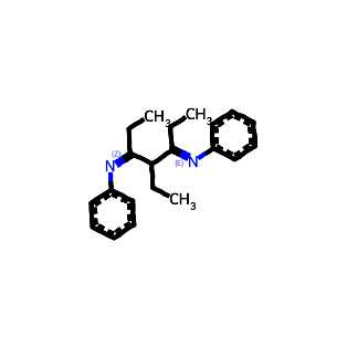 CC/C(=N/c1ccccc1)C(CC)/C(CC)=N/c1ccccc1